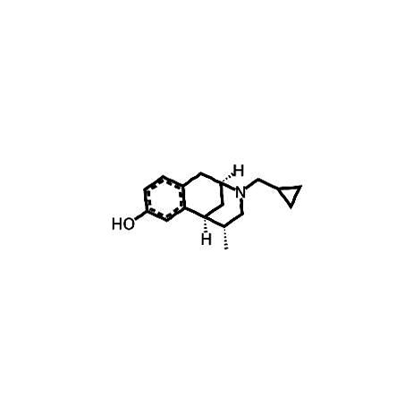 C[C@H]1CN(CC2CC2)[C@@H]2Cc3ccc(O)cc3[C@H]1C2